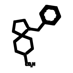 O=C(O)N1CCC2(CCCN2Cc2ccccc2)CC1